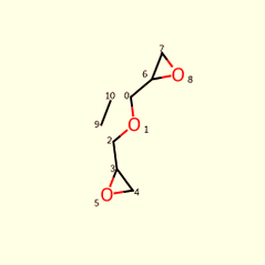 C(OCC1CO1)C1CO1.CC